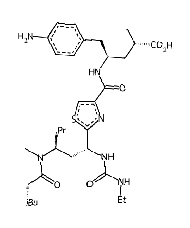 CCNC(=O)N[C@H](C[C@H](C(C)C)N(C)C(=O)C[C@@H](C)CC)c1nc(C(=O)N[C@@H](Cc2ccc(N)cc2)C[C@H](C)C(=O)O)cs1